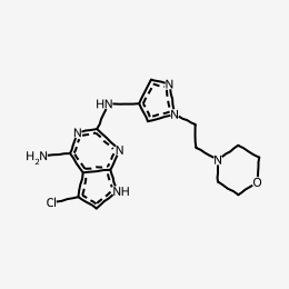 Nc1nc(Nc2cnn(CCN3CCOCC3)c2)nc2[nH]cc(Cl)c12